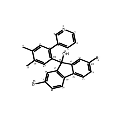 Cc1cc(-c2cccnc2)c(C2(O)c3cc(Br)ccc3-c3ccc(Br)cc32)cc1C